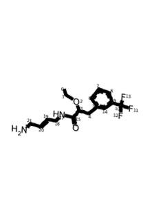 CCOC(Cc1cccc(C(F)(F)F)c1)C(=O)NCC=CCN